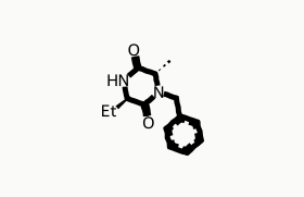 CC[C@H]1NC(=O)[C@H](C)N(Cc2ccccc2)C1=O